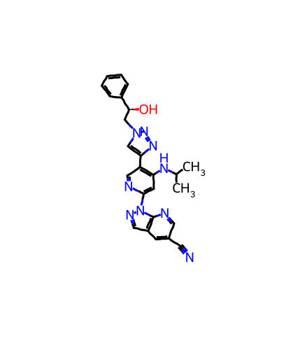 CC(C)Nc1cc(-n2ncc3cc(C#N)cnc32)ncc1-c1cn(C[C@H](O)c2ccccc2)nn1